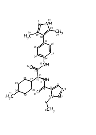 CCn1nncc1C(=O)N[C@H](C(=O)Nc1ccc(-c2c(C)n[nH]c2C)cc1)C1CCC(C)CC1